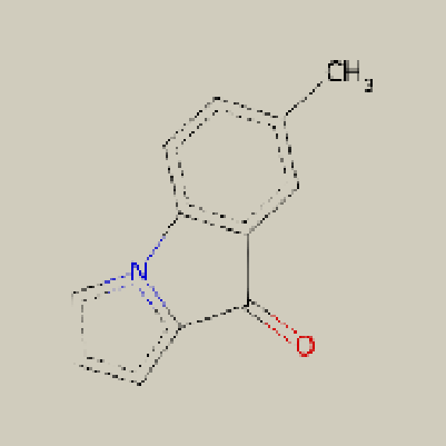 Cc1ccc2c(c1)C(=O)c1cccn1-2